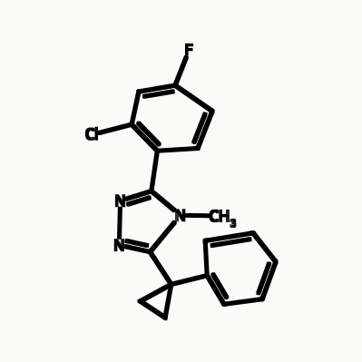 Cn1c(-c2ccc(F)cc2Cl)nnc1C1(c2ccccc2)CC1